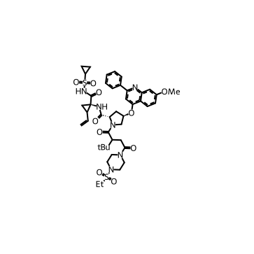 C=CC1C[C@]1(NC(=O)[C@@H]1C[C@@H](Oc2cc(-c3ccccc3)nc3cc(OC)ccc23)CN1C(=O)C(CC(=O)N1CCN(S(=O)(=O)CC)CC1)C(C)(C)C)C(=O)NS(=O)(=O)C1CC1